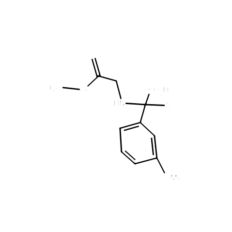 COc1cccc(C(Br)(NCC(=O)OC(C)(C)C)C(=O)O)c1